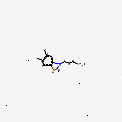 Cc1cc2c(cc1C)N(CCCS(=O)(=O)O)CS2